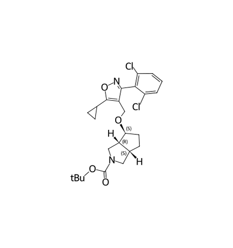 CC(C)(C)OC(=O)N1C[C@H]2CC[C@H](OCc3c(-c4c(Cl)cccc4Cl)noc3C3CC3)[C@H]2C1